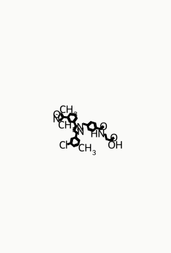 Cc1cc(Cl)cc(-c2cc(-c3cccc(-c4c(C)noc4C)c3)n(Cc3ccc(C(=O)NCCC(=O)O)cc3)n2)c1